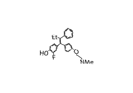 CCC(=C(c1ccc(OCCNC)cc1)c1ccc(O)c(F)c1)c1ccccc1